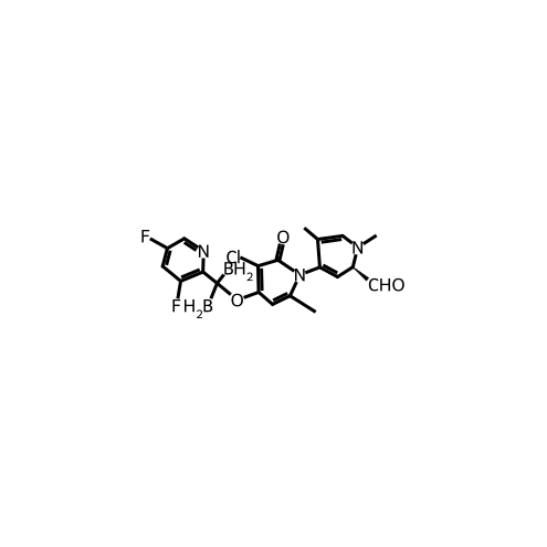 BC(B)(Oc1cc(C)n(C2=C[C@H](C=O)N(C)C=C2C)c(=O)c1Cl)c1ncc(F)cc1F